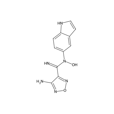 N=C(c1nonc1N)N(O)c1ccc2[nH]ccc2c1